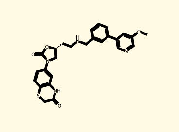 COc1cncc(-c2cccc(CNCC[C@@H]3CN(c4ccc5c(c4)NC(=O)CS5)C(=O)O3)c2)c1